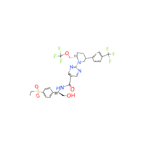 CCS(=O)(=O)c1ccc([C@H](CO)NC(=O)c2cnc(N3CC(c4ccc(C(F)(F)F)cc4)CC[C@H]3COC(F)(F)F)nc2)cc1